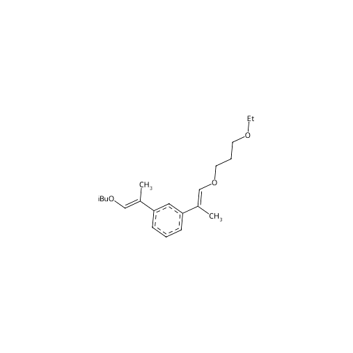 CCOCCCOC=C(C)c1cccc(C(C)=COCC(C)C)c1